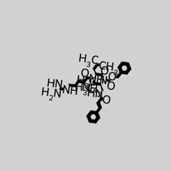 CC(C)C[C@H](NC(=O)[C@@H](N)CCCNC(=N)N)C(=O)N(C(=O)OCc1ccccc1)[C@@H](CNC(=O)/C=C/c1ccccc1)C(C)C